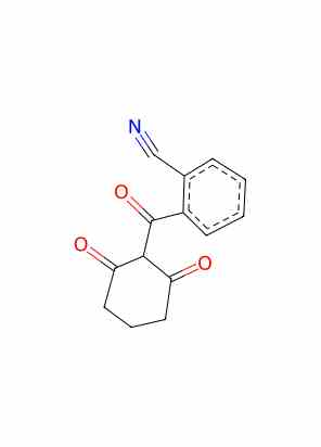 N#Cc1ccccc1C(=O)C1C(=O)CCCC1=O